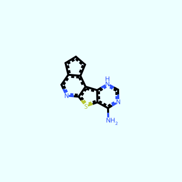 Nc1nc[nH]c2c1sc1ncc3cccc3c12